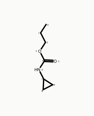 CCCOC(=O)NC1CC1